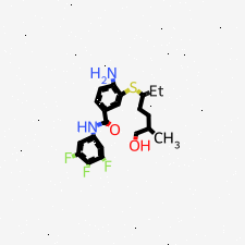 CCC(CCC(C)CO)Sc1cc(C(=O)Nc2cc(F)c(F)c(F)c2)ccc1N